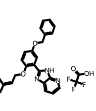 CC(C)=CCOc1ccc(OCc2ccccc2)cc1-c1nc2cccnc2[nH]1.O=C(O)C(F)(F)F